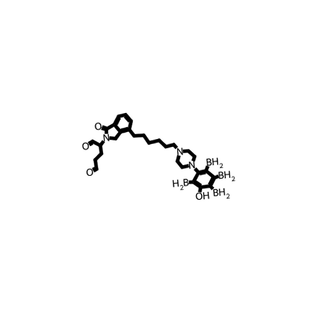 Bc1c(B)c(O)c(B)c(N2CCN(CCCCCCc3cccc4c3CN(C(C=O)CCC=O)C4=O)CC2)c1B